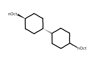 CCCCCCCCC1CCC([C@H]2CC[C@H](CCCCCCCC)CC2)CC1